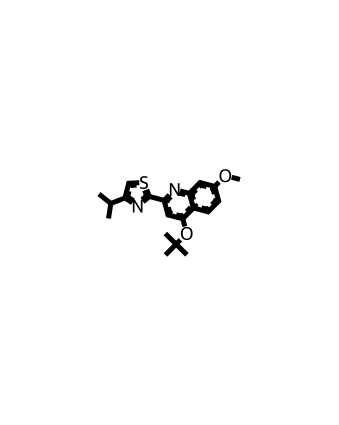 COc1ccc2c(OC(C)(C)C)cc(-c3nc(C(C)C)cs3)nc2c1